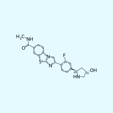 CNC(=O)c1ccc2c(c1)sc1nc(-c3ccc([C@H]4C[C@H](O)CN4)cc3F)cn12